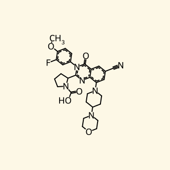 COc1ccc(-n2c(C3CCCN3C(=O)O)nc3c(N4CCC(N5CCOCC5)CC4)cc(C#N)cc3c2=O)cc1F